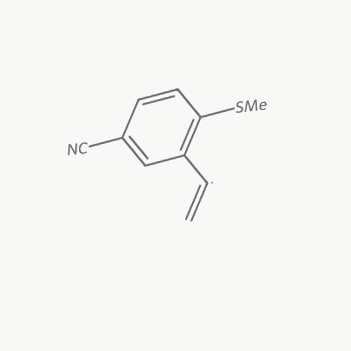 C=[C]c1cc(C#N)ccc1SC